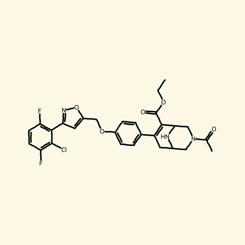 CCOC(=O)C1=C(c2ccc(OCc3cc(-c4c(F)ccc(F)c4Cl)no3)cc2)CC2CN(C(C)=O)CC1N2